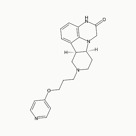 O=C1CN2c3c(cccc3[C@@H]3CN(CCCOc4ccncc4)CC[C@@H]32)N1